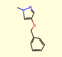 Cn1cc(OCc2ccccc2)cn1